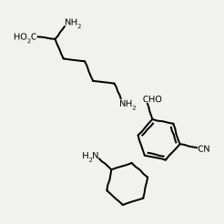 N#Cc1cccc(C=O)c1.NC1CCCCC1.NCCCCC(N)C(=O)O